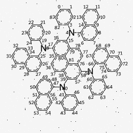 c1ccc(N(c2cccc3ccccc23)c2cc(N(c3ccccc3)c3cccc4ccccc34)c3ccc4c(N(c5ccccc5)c5cccc6ccccc56)cc(N(c5ccccc5)c5cccc6ccccc56)c5ccc2c3c54)cc1